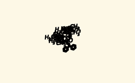 CC(COC(=O)C(=CC=C(c1ccccc1)c1ccccc1)C(=O)OCC(C)C[Si](C)(O[Si](C)(C)C)O[Si](C)(C)C)C[Si](C)(O[Si](C)(C)C)O[Si](C)(C)C